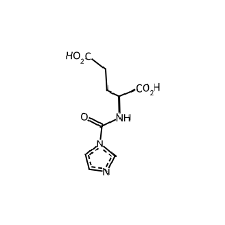 O=C(O)CCC(NC(=O)n1ccnc1)C(=O)O